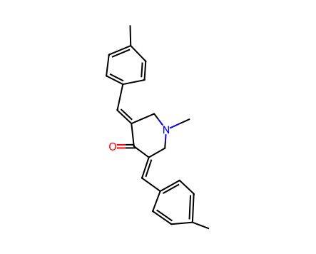 Cc1ccc(/C=C2\CN(C)C/C(=C\c3ccc(C)cc3)C2=O)cc1